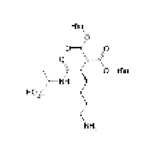 C[C@H](NC(=O)[C@H](CCCCN)N(C(=O)OC(C)(C)C)C(=O)OC(C)(C)C)C(=O)O